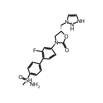 C[SH](N)(=O)c1ccc(-c2ccc(N3C[C@H](CN4C=CNN4)OC3=O)cc2F)cc1